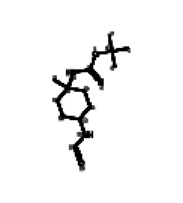 CC1(NC(=O)OC(C)(C)C)CCC(NC=O)CC1